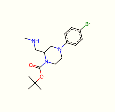 CNCC1CN(c2ccc(Br)cc2)CCN1C(=O)OC(C)(C)C